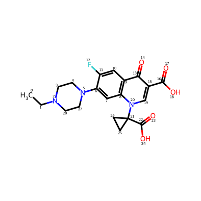 CCN1CCN(c2cc3c(cc2F)c(=O)c(C(=O)O)cn3C2(C(=O)O)CC2)CC1